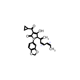 C=C(/C=C\C=C/C)C1C(O)=C(C(=O)C2CC2)C(=O)N1c1ccc2c(c1)OCO2